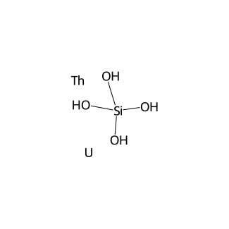 O[Si](O)(O)O.[Th].[U]